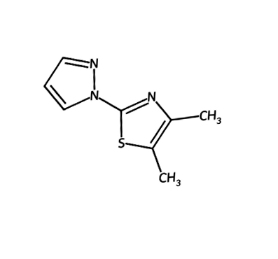 Cc1nc(-n2cccn2)sc1C